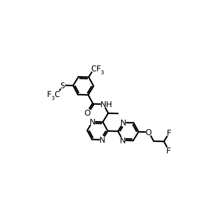 CC(NC(=O)c1cc(SC(F)(F)F)cc(C(F)(F)F)c1)c1nccnc1-c1ncc(OCC(F)F)cn1